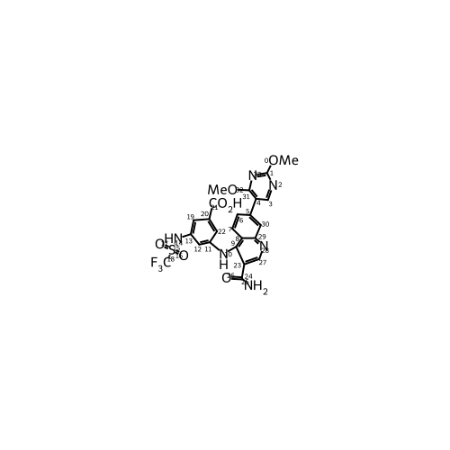 COc1ncc(-c2ccc3c(Nc4cc(NS(=O)(=O)C(F)(F)F)cc(C(=O)O)c4)c(C(N)=O)cnc3c2)c(OC)n1